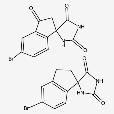 O=C1NC(=O)C2(CC(=O)c3cc(Br)ccc32)N1.O=C1NC(=O)C2(CCc3cc(Br)ccc32)N1